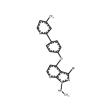 CPn1nc(Br)c2c(Oc3ccc(-c4cc(C(F)(F)F)ccn4)cc3)ccnc21